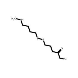 [3H]CC(=O)CCCSSCCCCNC